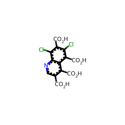 O=C(O)c1cnc2c(Cl)c(C(=O)O)c(Cl)c(C(=O)O)c2c1C(=O)O